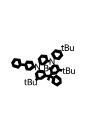 CC(C)(C)c1ccc(N2c3cccc4c3B3c5c(cc(C(C)(C)C)cc5C(C)(c5ccccc5)c5cc(C(C)(C)C)cc2c53)N4c2ccc(-c3ccccc3)cc2)cc1